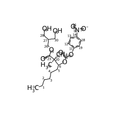 CCCCCCC(OC(=O)Oc1ccc([N+](=O)[O-])cc1)C(C)(C)C(=O)OCC(CO)CO